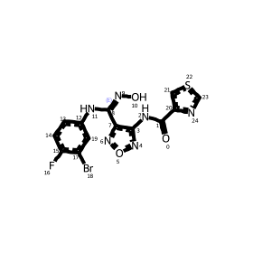 O=C(Nc1nonc1/C(=N\O)Nc1ccc(F)c(Br)c1)c1cscn1